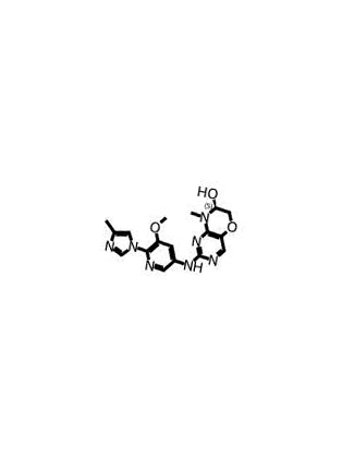 COc1cc(Nc2ncc3c(n2)N(C)[C@@H](O)CO3)cnc1-n1cnc(C)c1